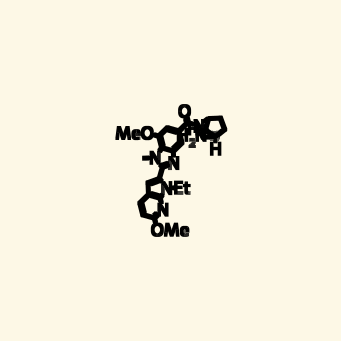 CCn1c(-c2nc3cc(C(=O)N4C[C@H]5CCC4[C@@H]5N)cc(OC)c3n2C)cc2ccc(OC)nc21